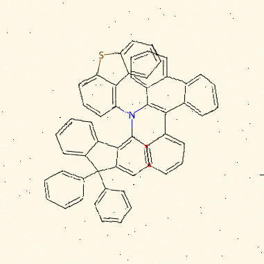 c1ccc(-c2c(N(c3cccc4c3-c3ccccc3C4(c3ccccc3)c3ccccc3)c3cccc4sc5ccccc5c34)c3ccccc3c3ccccc23)cc1